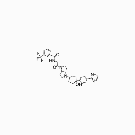 O=C(NCC(=O)N1CCC2C1CCN2C1CCC(O)(c2ccc(-c3ncccn3)cc2)CC1)c1cccc(C(F)(F)F)c1